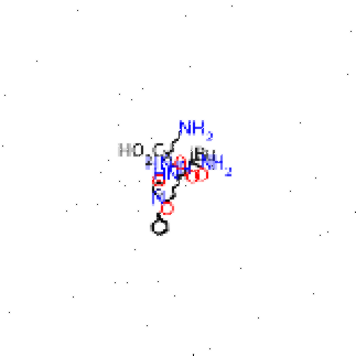 CCC(C)[C@@H](NC(=O)[C@@H](CCCC(N=C=O)OCc1ccccc1)NC(=O)N[C@@H](CCCCN)C(=O)O)C(N)=O